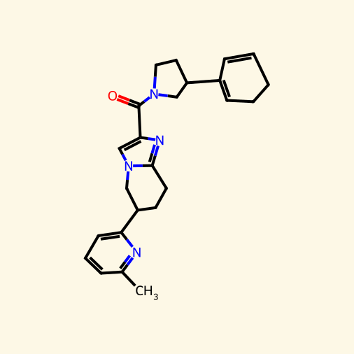 Cc1cccc(C2CCc3nc(C(=O)N4CCC(C5=CCCC=C5)C4)cn3C2)n1